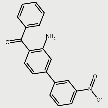 Nc1cc(-c2cccc([N+](=O)[O-])c2)ccc1C(=O)c1ccccc1